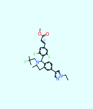 CCn1cc(-c2ccc3c(c2)CC(C)N(CC(C)(C)F)C3c2c(F)cc(/C=C/C(=O)OC)cc2F)cn1